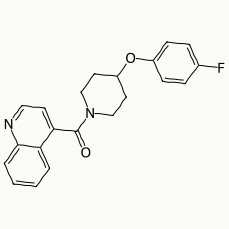 O=C(c1ccnc2ccccc12)N1CCC(Oc2ccc(F)cc2)CC1